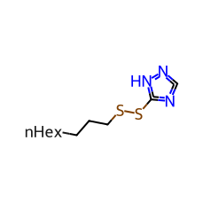 CCCCCCCCCSSc1ncn[nH]1